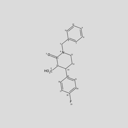 O=C(O)C1C(=O)N(Cc2ccccc2)CCC1c1ccc(F)cc1